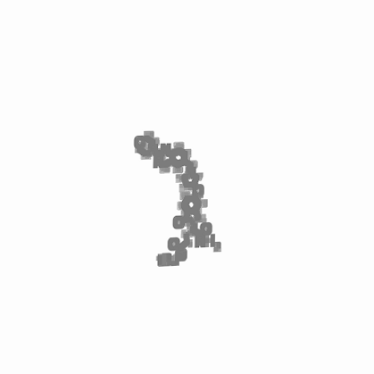 CC(C)(C)OC(=O)CC[C@@H](C(N)=O)N1Cc2cc(O[C@H]3CCN(Cc4ccc5nc(N6CCOCC6)ncc5c4)C3)ccc2C1=O